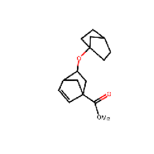 COC(=O)C12C=CC(C1)C(OC13CCC(CC1)C3)C2